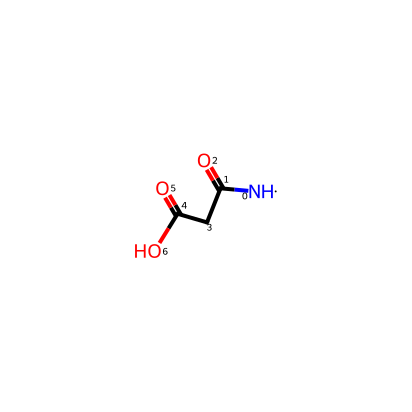 [NH]C(=O)CC(=O)O